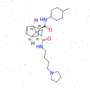 CC1CCC(NC(=O)[C@H]2[C@H](C(=O)NCCCCN3CCCC3)[C@H]3C=C[C@@H]2C32CC2)CC1